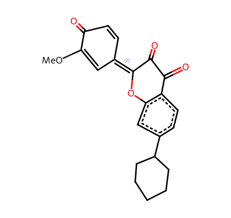 COC1=C/C(=C2\Oc3cc(C4CCCCC4)ccc3C(=O)C2=O)C=CC1=O